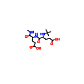 CNC(=O)C(CCC(=O)O)NC(=O)C(CCC(=O)O)NC(C)(C)C